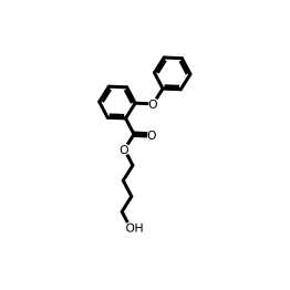 O=C(OCCCCO)c1ccccc1Oc1ccccc1